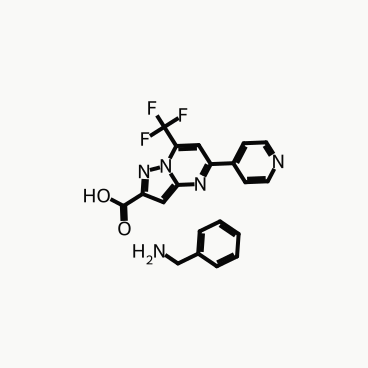 NCc1ccccc1.O=C(O)c1cc2nc(-c3ccncc3)cc(C(F)(F)F)n2n1